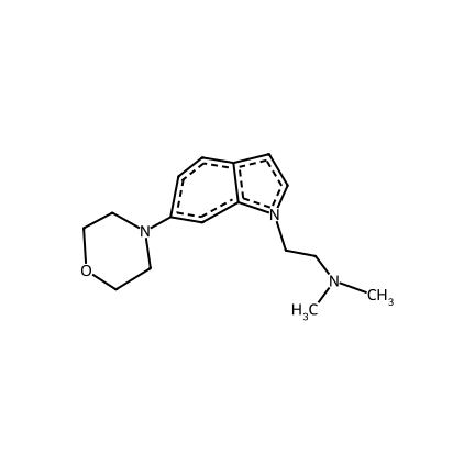 CN(C)CCn1ccc2ccc(N3CCOCC3)cc21